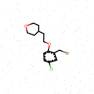 Clc1ccc(OCCC2CCOCC2)c(CBr)c1